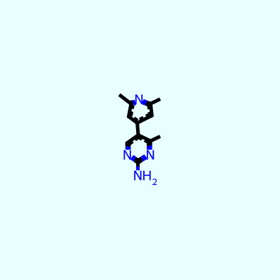 Cc1cc(-c2cnc(N)nc2C)cc(C)n1